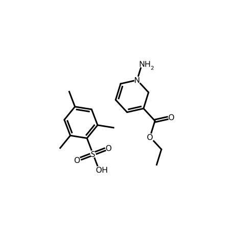 CCOC(=O)C1=CC=CN(N)C1.Cc1cc(C)c(S(=O)(=O)O)c(C)c1